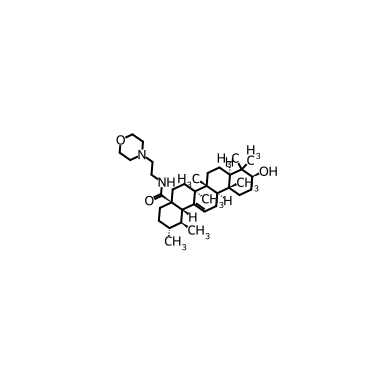 C[C@H]1[C@H](C)CC[C@]2(C(=O)NCCN3CCOCC3)CC[C@]3(C)C(=CC[C@@H]4[C@@]5(C)CC[C@H](O)C(C)(C)[C@@H]5CC[C@]43C)[C@H]12